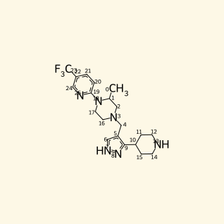 CC1CN(Cc2c[nH]nc2C2CCNCC2)CCN1c1ccc(C(F)(F)F)cn1